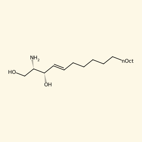 CCCCCCCCCCCCC/C=C/[C@H](O)[C@@H](N)CO